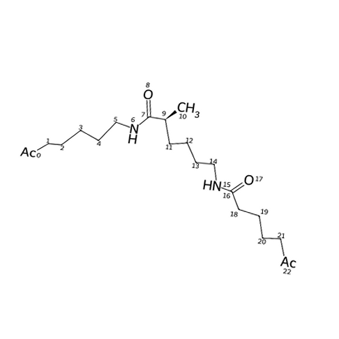 CC(=O)CCCCCNC(=O)[C@@H](C)CCCCNC(=O)CCCCC(C)=O